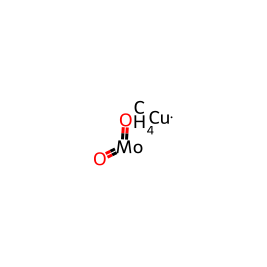 C.[Cu].[O]=[Mo]=[O]